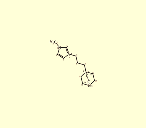 Cn1cc[n+](CCC[N+]23CCN(CC2)CC3)c1